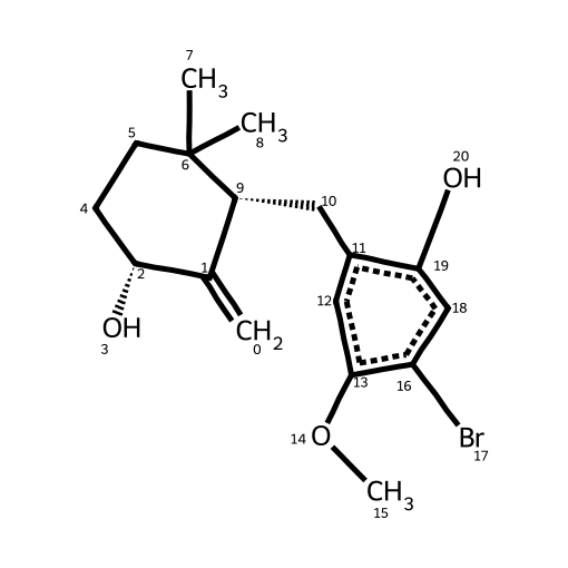 C=C1[C@H](O)CCC(C)(C)[C@@H]1Cc1cc(OC)c(Br)cc1O